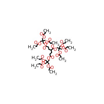 C=CC(=O)OCC(COC(=O)C=C)(COC(=O)C=C)COC(=O)CCC(CCC(=O)OCC(COC(=O)C=C)(COC(=O)C=C)COC(=O)C=C)C(=O)OCC(COC(=O)C=C)(COC(=O)C=C)COC(=O)C=C